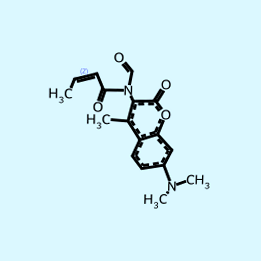 C/C=C\C(=O)N(C=O)c1c(C)c2ccc(N(C)C)cc2oc1=O